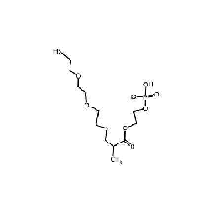 CC(CSCCOCCOCCS)C(=O)OCCOP(=O)(O)O